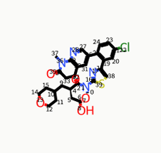 CN(C(=O)[C@@H](CC(=O)O)CC1CCOCC1)c1nc(-c2cc(Cl)ccc2-c2cnc3c(c2)CCC(=O)N3C)cs1